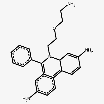 NCCOCCN1C(c2ccccc2)=c2cc(N)ccc2=C2C=CC(N)=CC21